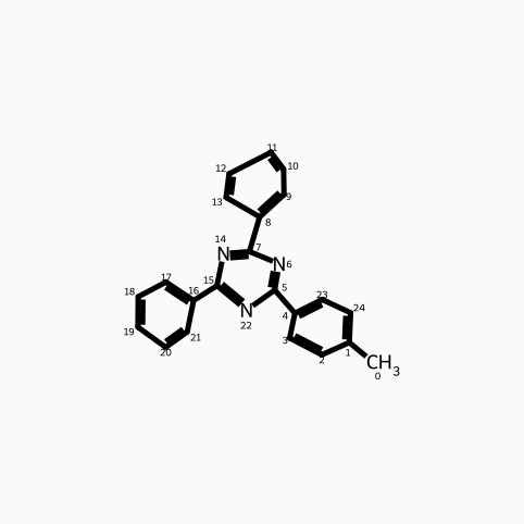 Cc1ccc(-c2nc(-c3ccccc3)nc(-c3ccccc3)n2)cc1